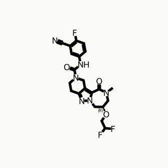 CN1C[C@@H](OCC(F)F)Cn2nc3c(c2C1=O)CN(C(=O)Nc1ccc(F)c(C#N)c1)CC3